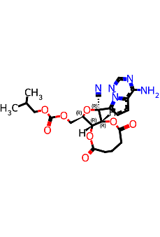 CC(C)COC(=O)OC[C@H]1O[C@@](C#N)(c2ccc3c(N)ncnn23)[C@@H]2OC(=O)CCCC(=O)O[C@@H]21